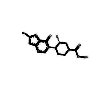 CC(C)(C)OC(=O)N1CC[C@@H](n2cnc3cc(Br)sc3c2=O)[C@H](F)C1